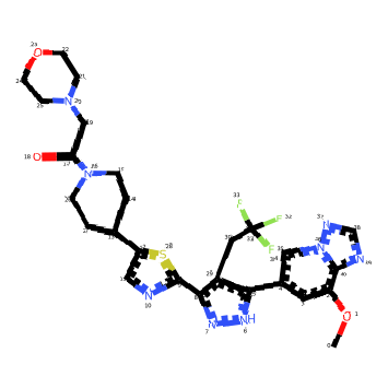 COc1cc(-c2[nH]nc(-c3ncc(C4CCN(C(=O)CN5CCOCC5)CC4)s3)c2CC(F)(F)F)cn2ncnc12